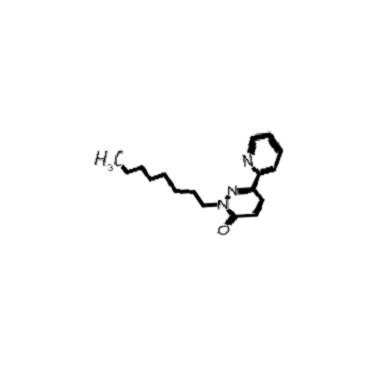 CCCCCCCCn1nc(-c2ccccn2)ccc1=O